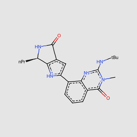 CCC[C@H]1NC(=O)c2cc(-c3cccc4c(=O)n(C)c(NC(C)(C)C)nc34)[nH]c21